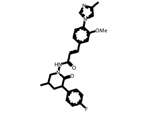 COc1cc(/C=C/C(=O)NN2CC(C)CC(c3ccc(F)cc3)C2=O)ccc1-n1cnc(C)c1